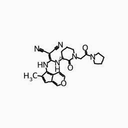 Cc1cc2coccc-2c1NC(N[C@H]1CCCN(CC(=O)N2CCCC2)C1=O)=C(C#N)C#N